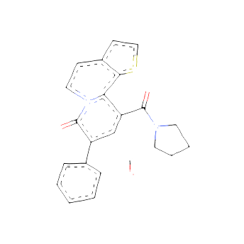 O=C(c1cc(-c2ccccc2)c(=O)n2ccc3ccsc3c12)N1CCC[C@@H]1CO